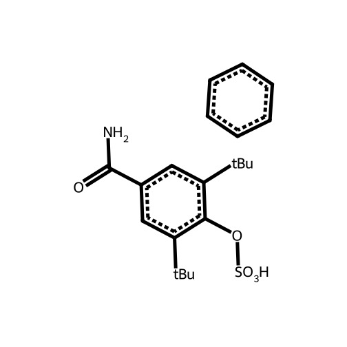 CC(C)(C)c1cc(C(N)=O)cc(C(C)(C)C)c1OS(=O)(=O)O.c1ccccc1